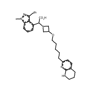 CC(C)c1nn(C)c2cccc(C(C(=O)O)N3CC(OCCCCCc4ccc5c(n4)NCCC5)C3)c12